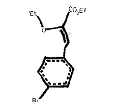 CCOC(=O)/C(=C/c1ccc(Br)cc1)OCC